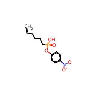 C=CCCCCP(=O)(O)Oc1ccc([N+](=O)[O-])cc1